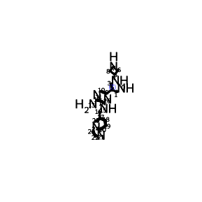 N=C/C(=C\NC1CNC1)c1cnc(N)c(NCc2ccc3nccn3c2)n1